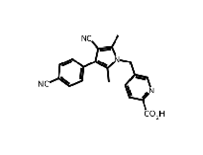 Cc1c(C#N)c(-c2ccc(C#N)cc2)c(C)n1Cc1ccc(C(=O)O)nc1